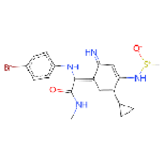 CNC(=O)/C(Nc1ccc(Br)cc1)=C1\C=C(C2CC2)C(N[S+](C)[O-])=CC1=N